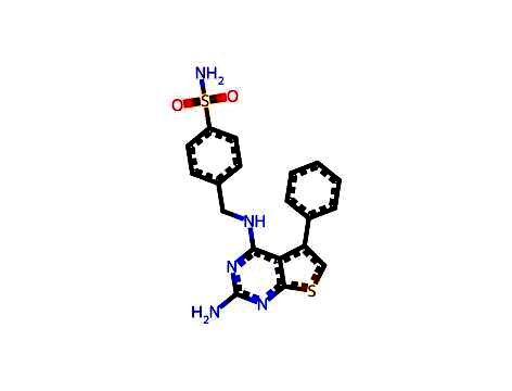 Nc1nc(NCc2ccc(S(N)(=O)=O)cc2)c2c(-c3ccccc3)csc2n1